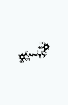 CC1OC(c2cccc(O)c2O)=N[C@@H]1C(=O)NCCCCNC(=O)c1cccc(O)c1O